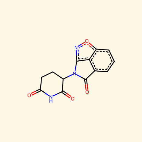 O=C1CCC(N2C(=O)c3cccc4onc2c34)C(=O)N1